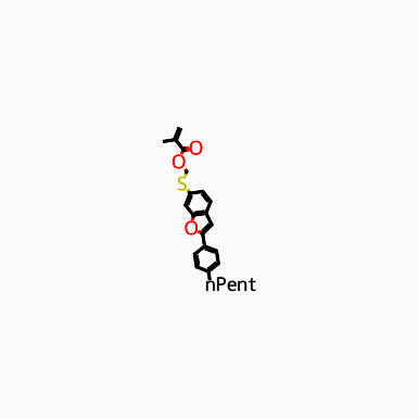 C=C(C)C(=O)OCSc1ccc2cc(-c3ccc(CCCCC)cc3)oc2c1